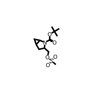 CC(C)(C)OC(=O)N1C(COS(C)(=O)=O)CC2CC21